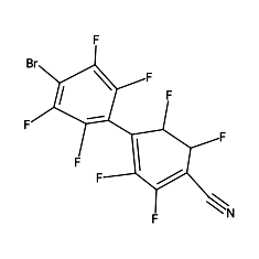 N#CC1=C(F)C(F)=C(c2c(F)c(F)c(Br)c(F)c2F)C(F)C1F